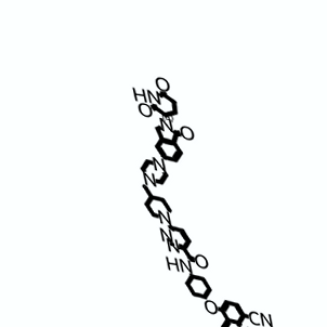 N#Cc1ccc(O[C@H]2CC[C@H](NC(=O)c3ccc(N4CCC(CN5CCN(c6ccc7c(c6)CN([C@H]6CCC(=O)NC6=O)C7=O)CC5)CC4)nn3)CC2)c2cccnc12